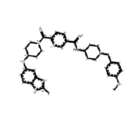 COc1ccc(CN2CCC(NC(=O)c3ccc(C(=O)N4CCC(Oc5ccc6sc(C)nc6c5)CC4)nc3)CC2)cc1